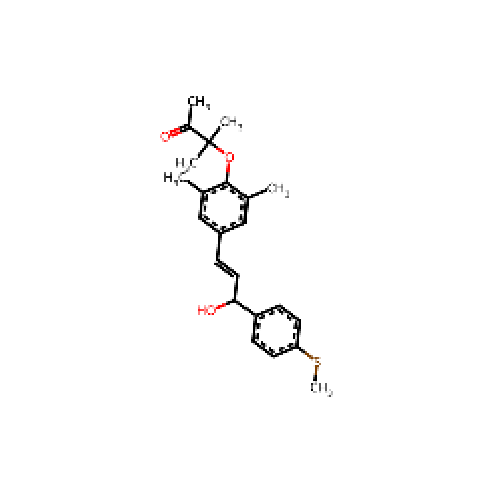 CSc1ccc(C(O)C=Cc2cc(C)c(OC(C)(C)C(C)=O)c(C)c2)cc1